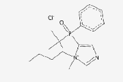 CCCC[N+]1(C)C=NC=C1P(=O)(c1ccccc1)C(C)(C)C.[Cl-]